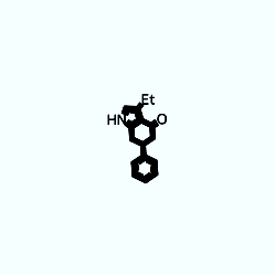 CCc1c[nH]c2c1C(=O)CC(c1ccccc1)C2